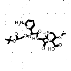 CCSC1=C(C(=O)O)N2C(=O)C(NC(=O)C(=NOCC(=O)OC(C)(C)C)c3cccc(N)n3)[C@@H]2SC1